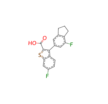 O=C(O)c1sc2cc(F)ccc2c1-c1cc(F)c2c(c1)CCC2